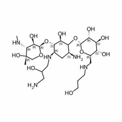 CN[C@@H]1[C@@H](O)[C@@H](O[C@H]2[C@H](NCC(O)CN)C[C@H](N)C(O[C@H]3O[C@H](CNCCCO)[C@@H](O)[C@H](O)[C@H]3O)[C@@H]2O)OC[C@]1(C)O